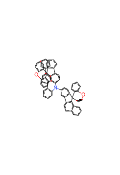 c1ccc(-c2ccc(-c3ccccc3N(c3ccc4c(c3)-c3ccc5ccccc5c3C43c4ccccc4Oc4ccccc43)c3ccc4c(c3)C3(c5ccccc5Oc5ccccc53)c3ccccc3-4)cc2)cc1